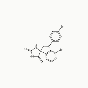 O=C1NC(=O)C(COc2ccc(Br)cc2)(c2cccc(Br)c2)N1